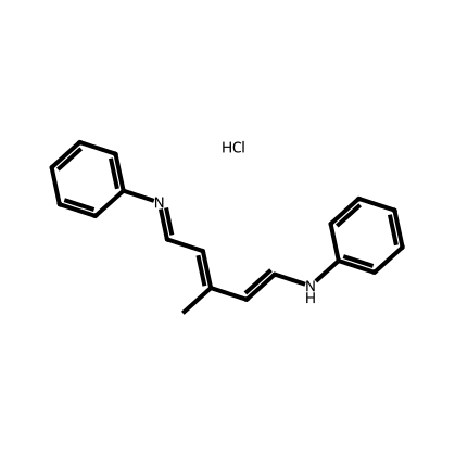 CC(C=CNc1ccccc1)=CC=Nc1ccccc1.Cl